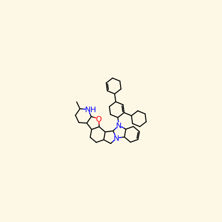 CC1CCC2C(N1)OC1C2CCC2CN3C4CC=CCC4N(C4CCC(C5C=CCCC5)C=C4C4CCCCC4)C3C21